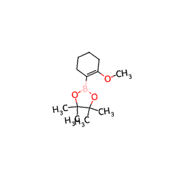 COC1=C(B2OC(C)(C)C(C)(C)O2)CCCC1